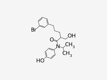 CC(C)N(C(=O)C(CO)CCCc1cccc(Br)c1)c1ccc(O)cc1